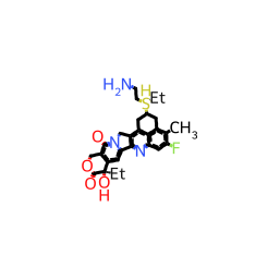 CC[SH](CCN)C1Cc2c(C)c(F)cc3nc4c(c(c23)C1)Cn1c-4cc2c(c1=O)COC(=O)[C@]2(O)CC